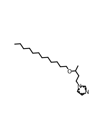 CCCCCCCCCCCCOC(C)CCn1ccnc1